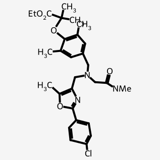 CCOC(=O)C(C)(C)Oc1c(C)cc(CN(CC(=O)NC)Cc2nc(-c3ccc(Cl)cc3)oc2C)cc1C